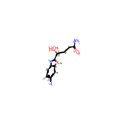 NC(=O)CC[C@H](O)c1nc2ccc(I)cc2s1